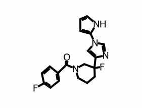 O=C(c1ccc(F)cc1)N1CCCC(F)(c2cn(-c3ccc[nH]3)cn2)C1